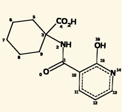 O=C(NC1(C(=O)O)CCCCC1)c1cccnc1O